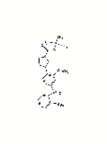 COc1cc([S+]([O-])c2ccccc2C#N)ccc1C1CCN(C(=O)OC(C)(C)C)C1